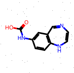 O=C(O)Nc1ccc2c(c1)C=NC=CN2